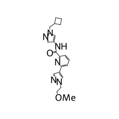 COCCn1cc(-c2cccc(C(=O)Nc3cnn(CC4CCC4)c3)n2)cn1